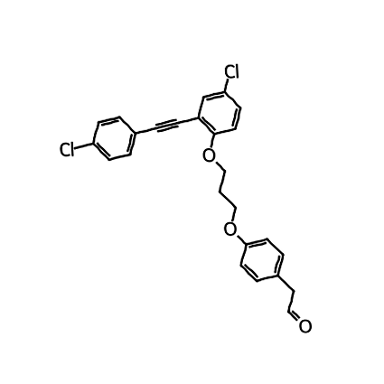 O=CCc1ccc(OCCCOc2ccc(Cl)cc2C#Cc2ccc(Cl)cc2)cc1